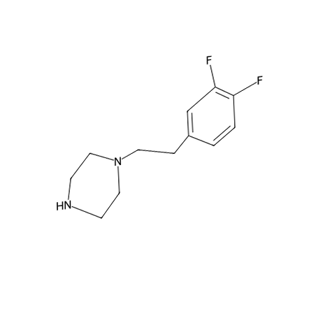 Fc1ccc(CCN2CCNCC2)cc1F